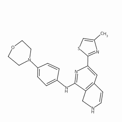 Cc1csc(-c2cc3c(c(Nc4ccc(N5CCOCC5)cc4)n2)CNC=C3)n1